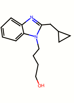 OCCCCn1c([CH]C2CC2)nc2ccccc21